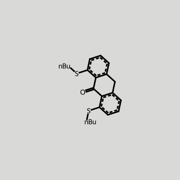 CCCCSc1cccc2c1C(=O)c1c(cccc1SCCCC)C2